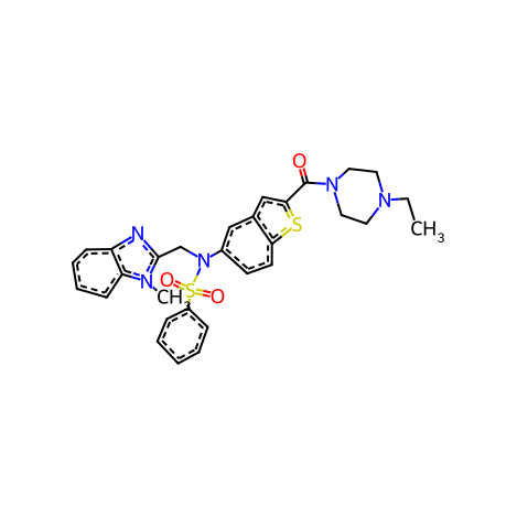 CCN1CCN(C(=O)c2cc3cc(N(Cc4nc5ccccc5n4C)S(=O)(=O)c4ccccc4)ccc3s2)CC1